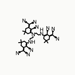 CC1(C)CC(NCCN(CCNC2=C(C#N)C(=C(C#N)C#N)CC(C)(C)C2)C2=C(C#N)C(=C(C#N)C#N)CC(C)(C)C2)=C(C#N)C(=C(C#N)C#N)C1